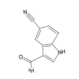 [2H]C(=O)c1c[nH]c2ccc(C#N)cc12